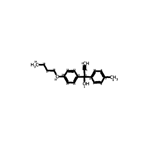 C#CC(O)(c1ccc(C)cc1)c1ccc(OCCCC)cc1